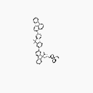 C=CC(=O)OCCCC1(C(=C)C)c2ccccc2-c2ccc(-c3ccc4c(c3)C(C)(C)c3cc(-c5ccc6c7c(cccc57)-c5ccccc5-6)ccc3-4)cc21